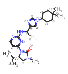 CC(Nc1nccc(N2C(=O)N(C)C[C@@H]2C(C)C)n1)c1cn(C2CCC(C)(C)CC2)cn1